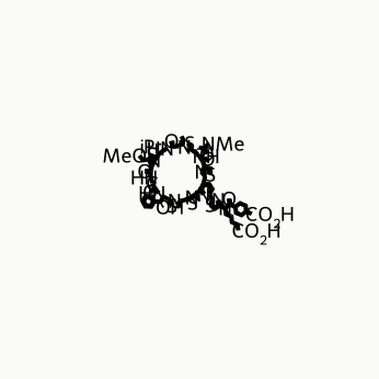 CNC(=O)C[C@@H]1NC(=O)c2csc(n2)-c2ccc(-c3nc(N(CCCCC(=O)O)C(=O)C4CCC(C(=O)O)CC4)cs3)nc2-c2csc(n2)-c2csc(n2)[C@H]([C@@H](O)c2ccccc2)NC(=O)CNC(=O)c2nc(sc2COC)C(C(C)C)NC(=O)c2nc1sc2C